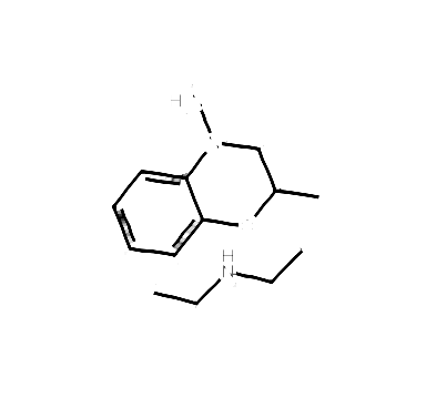 CC1CN(N)c2ccccc2O1.CCNCC